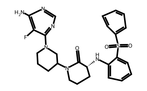 Nc1ncnc(N2CCCC(N3CCC[C@@H](Nc4ccccc4S(=O)(=O)c4ccccc4)C3=O)C2)c1F